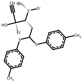 C#C[C@@](O)(CC)[C@@H](CC(Sc1ccc(C)cc1)Sc1ccc(C)cc1)[S@@+]([O-])C(C)(C)C